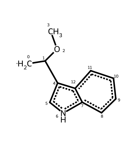 [CH2]C(OC)c1c[nH]c2ccccc12